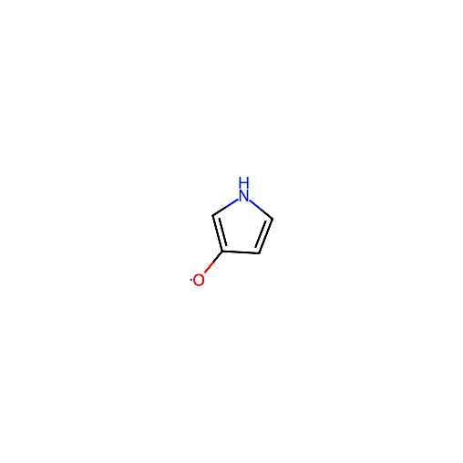 [O]c1cc[nH]c1